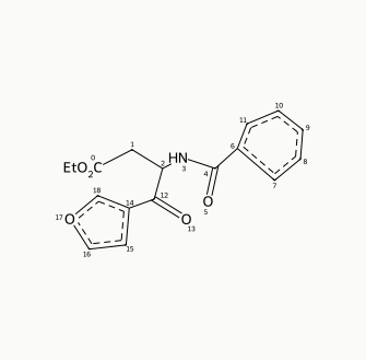 CCOC(=O)CC(NC(=O)c1ccccc1)C(=O)c1ccoc1